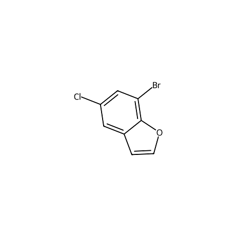 Clc1cc(Br)c2occc2c1